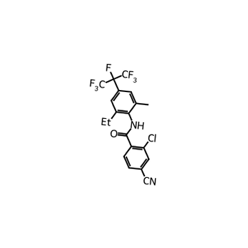 CCc1cc(C(F)(C(F)(F)F)C(F)(F)F)cc(C)c1NC(=O)c1ccc(C#N)cc1Cl